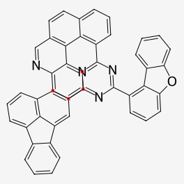 c1ccc2c(c1)-c1cccc3cc(-c4nc(-c5cccc6oc7ccccc7c56)nc(-c5cccc6ccc7cnc8ccccc8c7c56)n4)cc-2c13